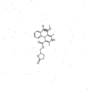 COC(=O)C1=C(C)NC(C)=C(C(=O)OCC2CCC(=O)O2)C1c1ccccc1[N+](=O)[O-]